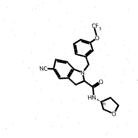 N#Cc1ccc2c(c1)CC(C(=O)N[C@@H]1CCOC1)N2Cc1cccc(OC(F)(F)F)c1